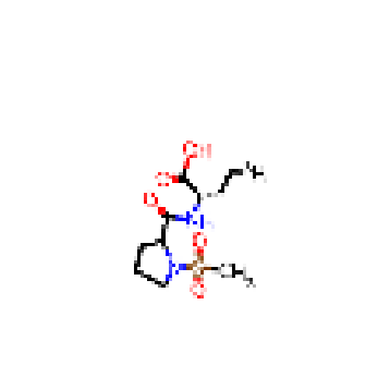 [3H]CC[C@H](NC(=O)C1CCCN1S(C)(=O)=O)C(=O)O